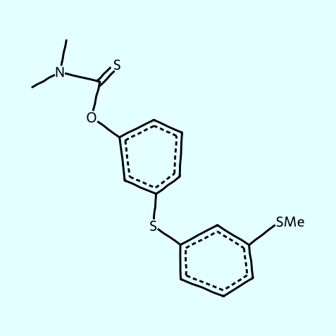 CSc1cccc(Sc2cccc(OC(=S)N(C)C)c2)c1